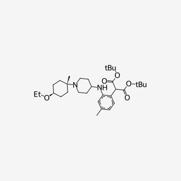 CCO[C@H]1CC[C@](C)(N2CCC(Nc3cc(C)ccc3C(C(=O)OC(C)(C)C)C(=O)OC(C)(C)C)CC2)CC1